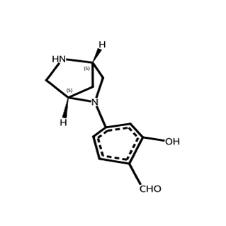 O=Cc1ccc(N2C[C@@H]3C[C@H]2CN3)cc1O